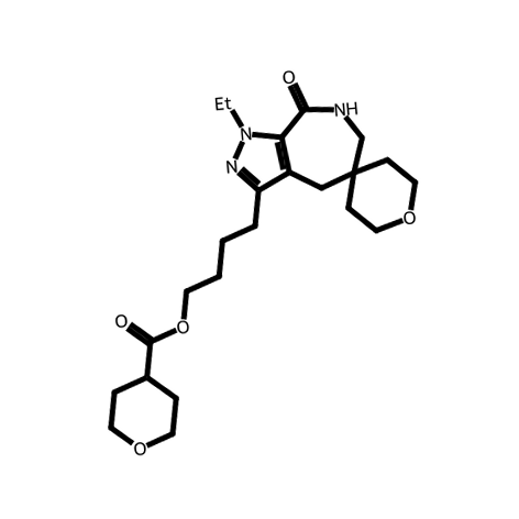 CCn1nc(CCCCOC(=O)C2CCOCC2)c2c1C(=O)NCC1(CCOCC1)C2